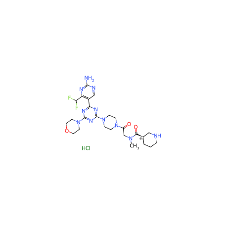 CN(CC(=O)N1CCN(c2nc(-c3cnc(N)nc3C(F)F)nc(N3CCOCC3)n2)CC1)C(=O)[C@@H]1CCCNC1.Cl